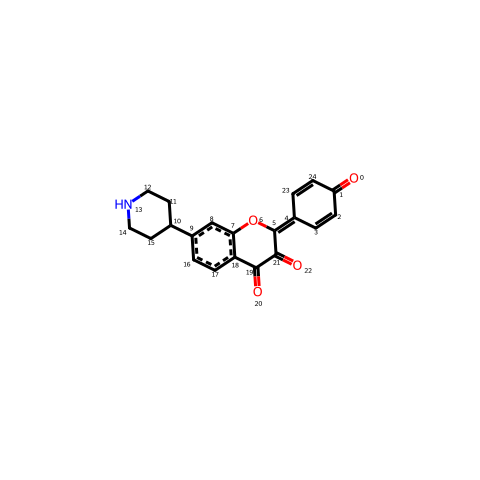 O=C1C=CC(=C2Oc3cc(C4CCNCC4)ccc3C(=O)C2=O)C=C1